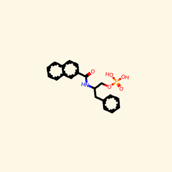 O=C(NC(COP(=O)(O)O)Cc1ccccc1)c1ccc2ccccc2c1